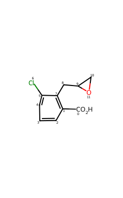 O=C(O)c1cccc(Cl)c1CC1CO1